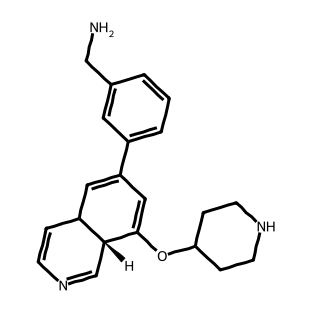 NCc1cccc(C2=CC3C=CN=C[C@H]3C(OC3CCNCC3)=C2)c1